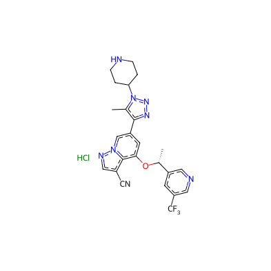 Cc1c(-c2cc(O[C@H](C)c3cncc(C(F)(F)F)c3)c3c(C#N)cnn3c2)nnn1C1CCNCC1.Cl